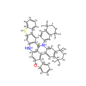 CC1(C)CCC(C)(C)c2cc(N3B4c5cc6c(cc5Nc5cc7oc8ccccc8c7c(c54)-c4cc5c(cc43)C(C)(C)CCC5(C)C)sc3ccccc36)ccc21